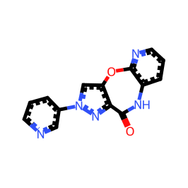 O=C1Nc2cccnc2Oc2cn(-c3cccnc3)nc21